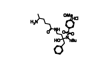 CCCCN(C(O)(CCNC(=O)CCCC(C)N)Cc1ccccc1)S(=O)(=O)c1ccc(OC)cc1.Cl